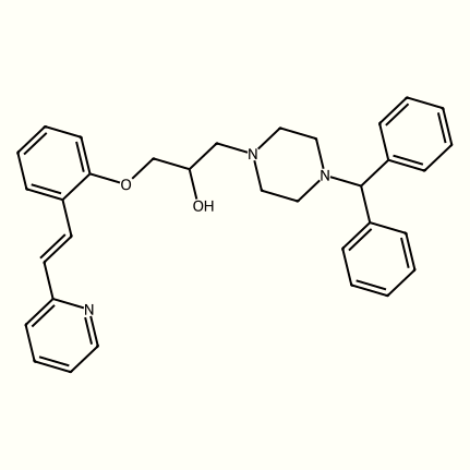 OC(COc1ccccc1/C=C/c1ccccn1)CN1CCN(C(c2ccccc2)c2ccccc2)CC1